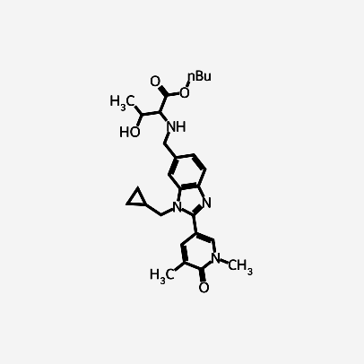 CCCCOC(=O)C(NCc1ccc2nc(-c3cc(C)c(=O)n(C)c3)n(CC3CC3)c2c1)C(C)O